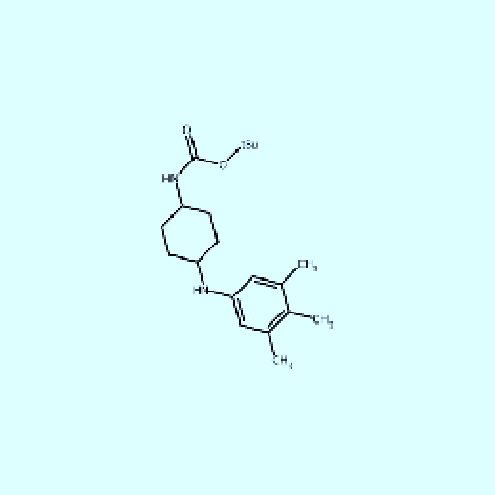 Cc1cc(NC2CCC(NC(=O)OC(C)(C)C)CC2)cc(C)c1C